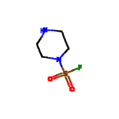 O=S(=O)(F)N1CCNCC1